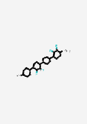 CCCCCC1CCC(C2CCC(C3CCC(C4CCC(CCC)CC4)C(F)[C@H]3F)CC2)C(F)C1F